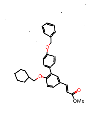 COC(=O)/C=C/c1ccc(OCC2CCCCC2)c(-c2ccc(OCc3ccccc3)cc2)c1